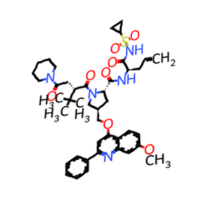 C=CC[C@@H](NC(=O)[C@@H]1C[C@@H](COc2cc(-c3ccccc3)nc3cc(OC)ccc23)CN1C(=O)[C@@H](CC(=O)N1CCCCC1)C(C)(C)C)C(=O)NS(=O)(=O)C1CC1